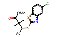 COC(=O)C(C)(C)C(Sc1nc2cc(Cl)ccc2s1)C(C)=O